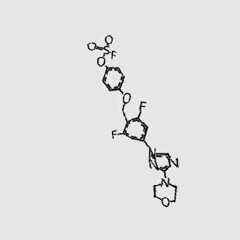 O=S(=O)(F)Oc1ccc(OCc2c(F)cc(-n3cnc(N4CCOCC4)n3)cc2F)cc1